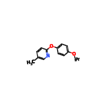 Cc1ccc(Oc2ccc(OC(C)C)cc2)nc1